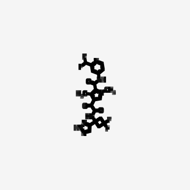 Cc1c(C(=O)C(=O)NC2(c3cn[nH]n3)CC(F)(F)C2)cn(C)c1C(=O)Nc1ccnc(C(F)F)c1